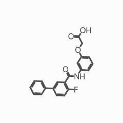 O=C(O)COc1cccc(NC(=O)c2cc(-c3ccccc3)ccc2F)c1